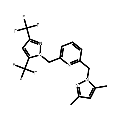 Cc1cc(C)n(Cc2cccc(Cn3nc(C(F)(F)F)cc3C(F)(F)F)n2)n1